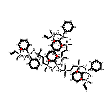 C=C[Si](C)(C)O[Si](O[Si](C)(C)CC[Si](C)(C)O[Si](O[Si](C)(C)CC[Si](C)(C)O[Si](O[Si](C)(C)C=C)(c1ccccc1)c1ccccc1)(O[Si](C)(C)CC[Si](C)(C)O[Si](O[Si](C)(C)C=C)(c1ccccc1)c1ccccc1)c1ccccc1)(c1ccccc1)c1ccccc1